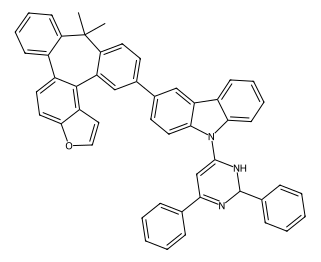 CC1(C)c2ccccc2-c2ccc3occc3c2-c2cc(-c3ccc4c(c3)c3ccccc3n4C3=CC(c4ccccc4)=NC(c4ccccc4)N3)ccc21